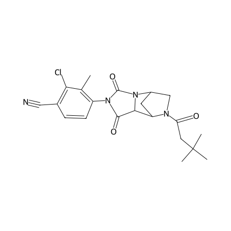 Cc1c(N2C(=O)C3C4CC(CN4C(=O)CC(C)(C)C)N3C2=O)ccc(C#N)c1Cl